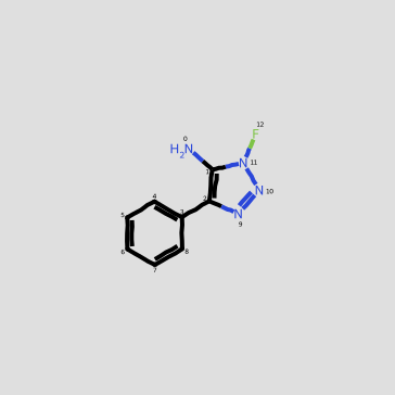 Nc1c(-c2ccccc2)nnn1F